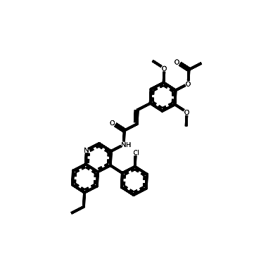 CCc1ccc2ncc(NC(=O)/C=C/c3cc(OC)c(OC(C)=O)c(OC)c3)c(-c3ccccc3Cl)c2c1